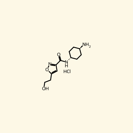 Cl.N[C@H]1CC[C@H](NC(=O)c2cc(CCO)on2)CC1